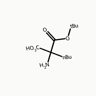 CCCCC(N)(C(=O)O)C(=O)OC(C)(C)C